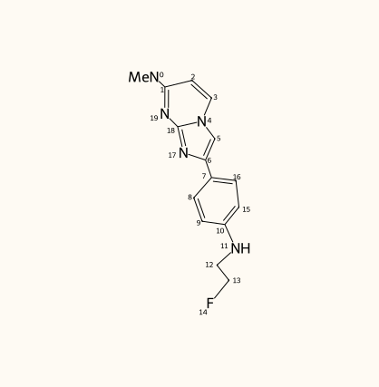 CNc1ccn2cc(-c3ccc(NCCF)cc3)nc2n1